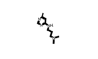 Cc1cc(NCCCN(C)C)ncn1